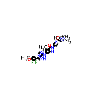 COc1ccc(-c2cnc3c(Nc4ccc(C(=O)NC5CCN(C(=O)C[N+](C)(C)C)CC5)c(C)c4)nccn23)c(F)c1F